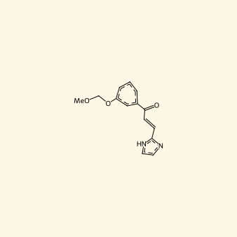 COCOc1cccc(C(=O)/C=C/c2ncc[nH]2)c1